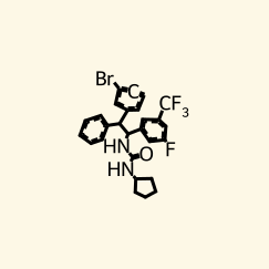 O=C(NC1CCCC1)NC(c1cc(F)cc(C(F)(F)F)c1)C(c1ccccc1)c1cccc(Br)c1